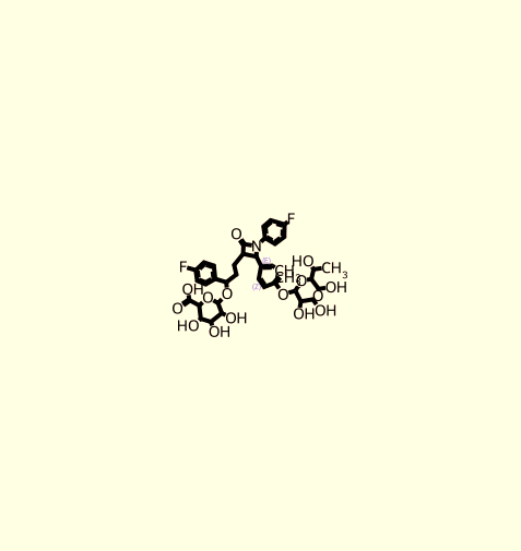 C=C(/C=C\C(=C/C)C1C(CCC(OC2OC(C(=O)O)C(O)C(O)C2O)c2ccc(F)cc2)C(=O)N1c1ccc(F)cc1)OC(OC(C(=O)O)C(C)O)C(O)CO